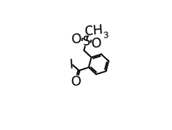 CS(=O)(=O)Cc1ccccc1C(=O)I